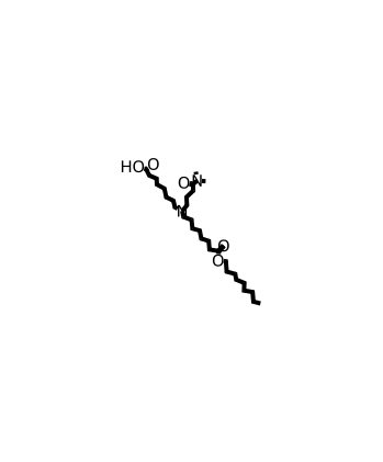 CCCCCCCCCOC(=O)CCCCCCCN(CCCCCCCC(=O)O)CCCC(=O)N(C)C